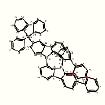 c1ccc(-c2ccc3c4cccc(-n5c6ccccc6c6cc([Si](c7ccccc7)(c7ccccc7)c7ccccc7)ccc65)c4n(-c4ccccc4-c4ccccc4)c3c2)cc1